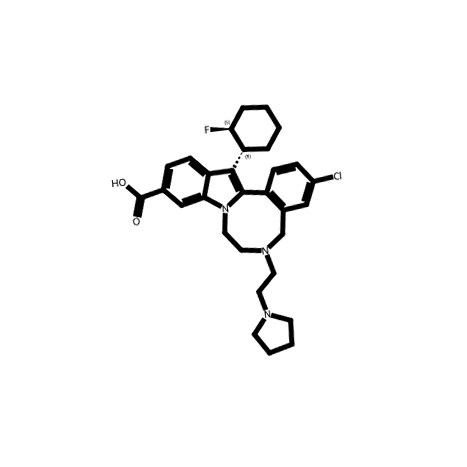 O=C(O)c1ccc2c([C@H]3CCCC[C@@H]3F)c3n(c2c1)CCN(CCN1CCCC1)Cc1cc(Cl)ccc1-3